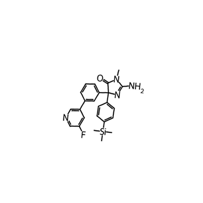 CN1C(=O)C(c2ccc([Si](C)(C)C)cc2)(c2cccc(-c3cncc(F)c3)c2)N=C1N